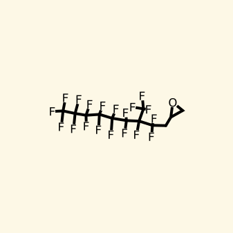 FC(F)(F)C(F)(F)C(F)(F)C(F)(F)C(F)(F)C(F)(F)C(F)(C(F)(F)F)C(F)(F)CC1CO1